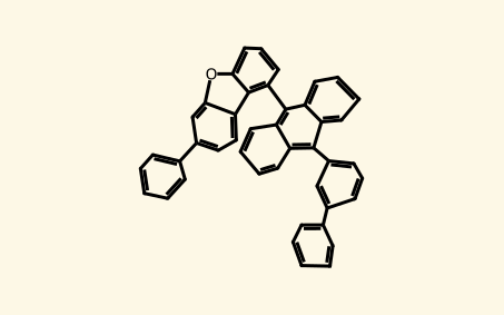 c1ccc(-c2cccc(-c3c4ccccc4c(-c4cccc5oc6cc(-c7ccccc7)ccc6c45)c4ccccc34)c2)cc1